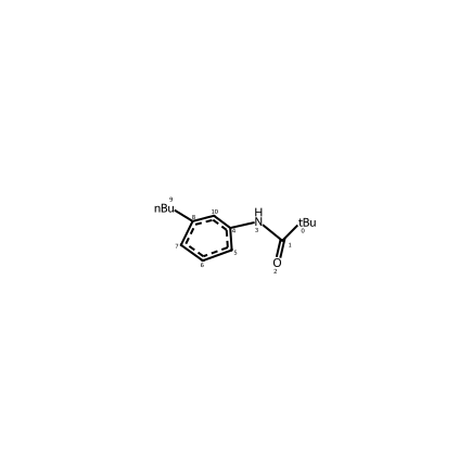 [CH2]C(C)(C)C(=O)Nc1cccc(CCCC)c1